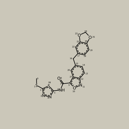 CSc1nnc(NC(=O)c2onc3ccc(Cc4ccc5c(c4)OCO5)cc23)s1